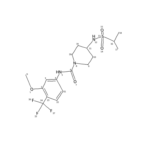 COc1cc(NC(=O)N2CCC(NS(=O)(=O)C(C)C)CC2)ccc1C(F)(F)F